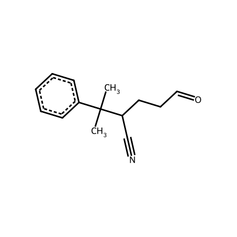 CC(C)(c1ccccc1)C(C#N)CCC=O